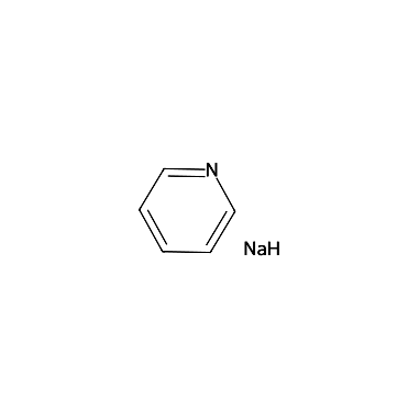 [NaH].c1ccncc1